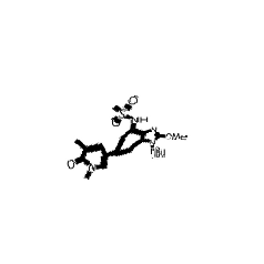 CCCCn1c(OC)nc2c(NS(C)(=O)=O)cc(-c3cc(C)c(=O)n(C)c3)cc21